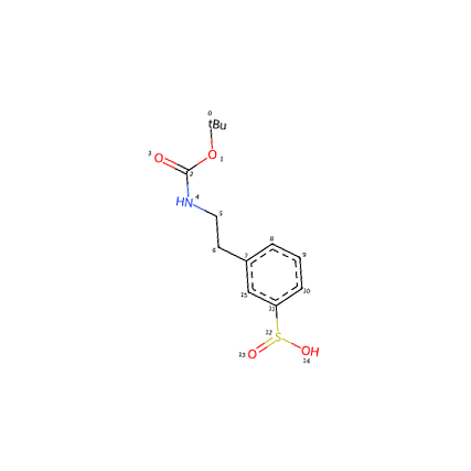 CC(C)(C)OC(=O)NCCc1cccc(S(=O)O)c1